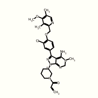 C=CC(=O)N1CCC[C@@H](n2nc(-c3ccc(OCc4ncc(C)c(OC)c4C)c(Cl)c3)c3c2=NCN(C)C=3N)C1